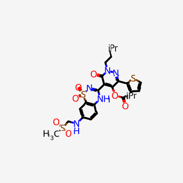 CC(C)CCn1nc(-c2cccs2)c(OC(=O)C(C)C)c(C2=NS(=O)(=O)c3cc(NCS(C)(=O)=O)ccc3N2)c1=O